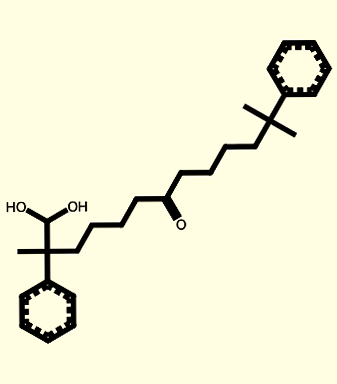 CC(C)(CCCCC(=O)CCCCC(C)(c1ccccc1)C(O)O)c1ccccc1